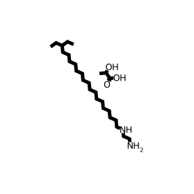 CC(O)C(=O)O.CCC(CC)CCCCCCCCCCCCCCCCCNCCN